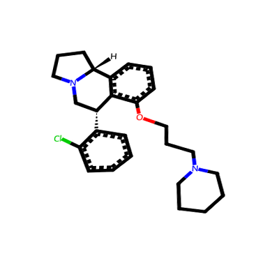 Clc1ccccc1[C@@H]1CN2CCC[C@@H]2c2cccc(OCCCN3CCCCC3)c21